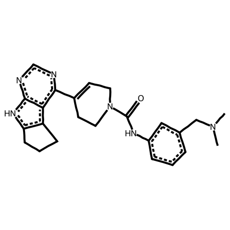 CN(C)Cc1cccc(NC(=O)N2CC=C(c3ncnc4[nH]c5c(c34)CCC5)CC2)c1